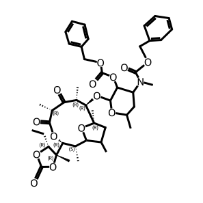 CC[C@H]1OC(=O)O[C@@]1(C)[C@@H]1OC(=O)[C@H](C)C(=O)[C@H](C)[C@@H](OC2OC(C)CC(N(C)C(=O)OCc3ccccc3)C2OC(=O)OCc2ccccc2)[C@@]2(C)CC(C)C(O2)[C@@H]1C